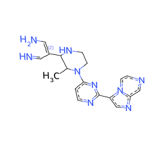 CC1C(/C(C=N)=C/N)NCCN1c1ccnc(-c2cnc3cnccn23)n1